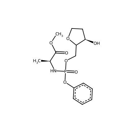 COC(=O)[C@H](C)NP(=O)(OCC1OCC[C@H]1O)Oc1ccccc1